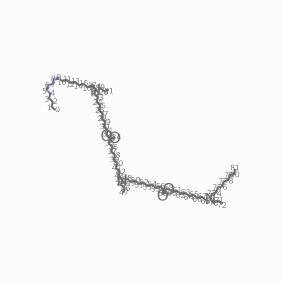 CCCCC/C=C\C/C=C\CCCCCCCCN(CCC)CCCCCCCCCCOC(=O)CCCCCCCCCN(CCC)CCCCCCCCCC(=O)OCCCCCCCCCN(CCC)CCCCCCCCC